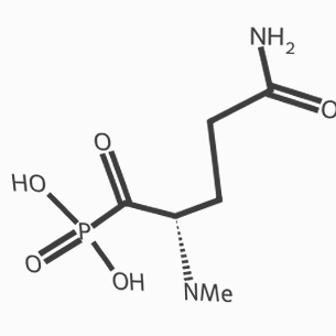 CN[C@@H](CCC(N)=O)C(=O)P(=O)(O)O